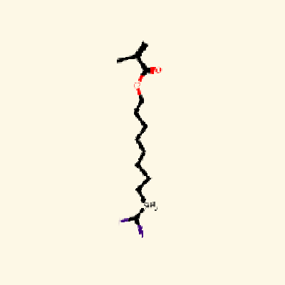 C=C(C)C(=O)OCCCCCCCC[SiH2]C(I)I